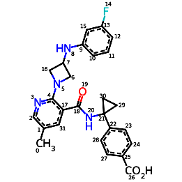 Cc1cnc(N2CC(Nc3cccc(F)c3)C2)c(C(=O)NC2(c3ccc(C(=O)O)cc3)CC2)c1